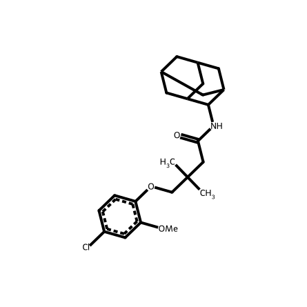 COc1cc(Cl)ccc1OCC(C)(C)CC(=O)NC1C2CC3CC(C2)CC1C3